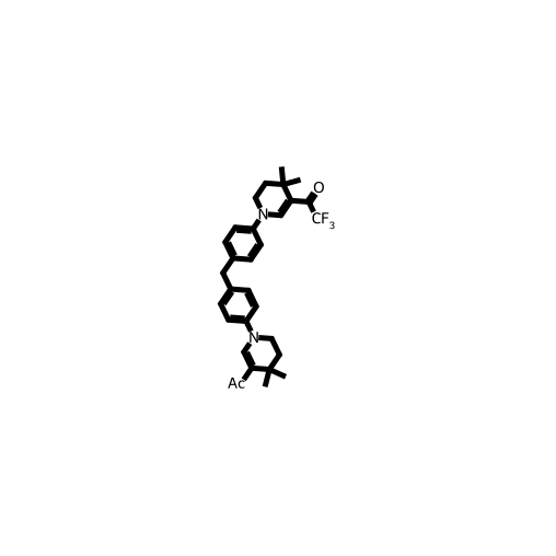 CC(=O)C1=CN(c2ccc(Cc3ccc(N4C=C(C(=O)C(F)(F)F)C(C)(C)CC4)cc3)cc2)CCC1(C)C